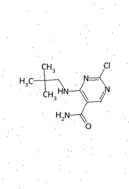 CC(C)(C)CNc1nc(Cl)ncc1C(N)=O